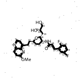 COc1ccc2nccc(CC[C@@H]3CC[C@@H](NC(=O)C=Cc4cc(F)ccc4F)[C@@H](C[C@H](O)CO)O3)c2n1